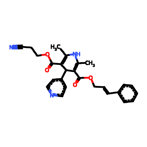 CC1=C(C(=O)OC/C=C/c2ccccc2)C(c2ccncc2)C(C(=O)OCCC#N)=C(C)N1